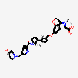 Cc1c(COc2ccc3c(c2)OCCC3N(C)CC(=O)O)cccc1-c1cccc(NC(=O)c2ccc(CN3CC[C@@H](O)C3)cn2)c1C